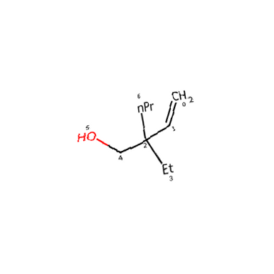 C=CC(CC)(CO)CCC